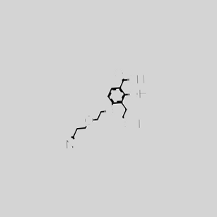 CCCc1c(OCCOCCC#N)ccc(C(C)=O)c1O